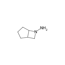 NN1CC2CCCC21